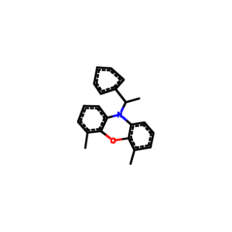 Cc1cccc2c1Oc1c(C)cccc1N2C(C)c1ccccc1